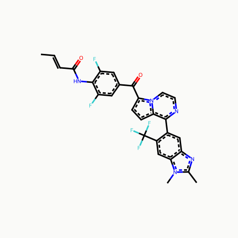 CC=CC(=O)Nc1c(F)cc(C(=O)c2ccc3c(-c4cc5nc(C)n(C)c5cc4C(F)(F)F)nccn23)cc1F